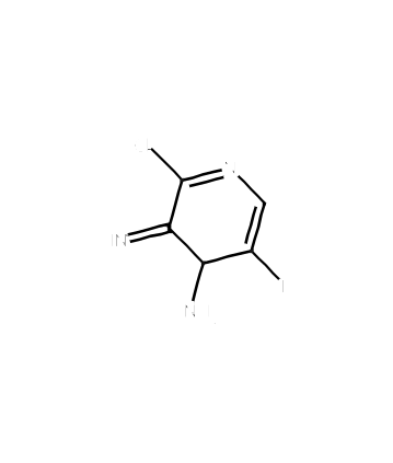 N=C1C(Cl)=NC=C(F)C1N